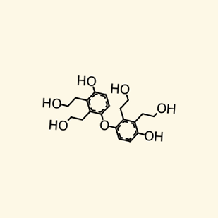 OCCc1c(O)ccc(Oc2ccc(O)c(CCO)c2CCO)c1CCO